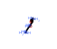 N=C(N)NCCCCCCCNC(=O)NCCCc1cc2cc(C(=N)N)ccc2o1